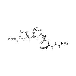 CNCCCC(CC(=O)NC(CC(C)=O)CC(=O)NC(CCCNC)CC(C)=O)NC